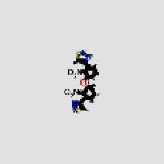 O=[N+]([O-])c1c(Oc2cccc(-c3csnn3)c2[N+](=O)[O-])cccc1-c1csnn1